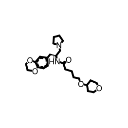 O=C(CCCCOC1CCOCC1)N[C@@H](Cc1ccc2c(c1)OCCO2)CN1CCCC1